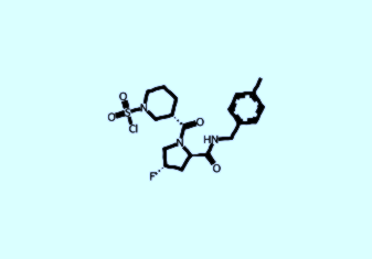 Cc1ccc(CNC(=O)[C@H]2C[C@H](F)CN2C(=O)[C@H]2CCCN(S(=O)(=O)Cl)C2)cc1